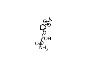 NC(=O)OC[C@@H](O)COc1cccc(S(=O)(=O)C2CC2)c1